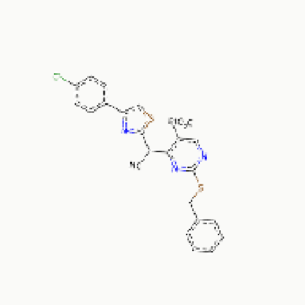 CCOC(=O)c1cnc(SCc2ccccc2)nc1C(C#N)c1nc(-c2ccc(Cl)cc2)cs1